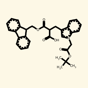 CC(C)(C)OC(=O)Cn1cc(CC(C(=O)O)C(=O)OCC2c3ccccc3-c3ccccc32)c2ccccc21